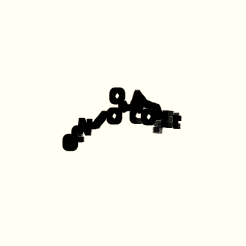 C=CC1CC1(C(=O)OCC)C(=O)OCCN=C=O